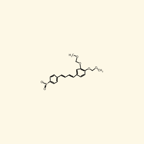 COCOc1ccc(/C=C/C=C/c2ccc([N+](=O)[O-])cc2)cc1OCOC